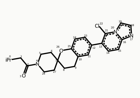 CC(C)CC(=O)N1CCC2(CCc3cc(-c4ccc5nccn5c4Cl)ccc3O2)CC1